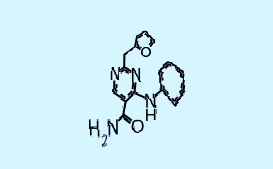 NC(=O)c1cnc(Cc2ccco2)nc1Nc1ccccc1